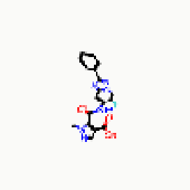 Cn1ncc(C(=O)O)c1C(=O)Nc1cc2nc(-c3ccccc3)nn2cc1F